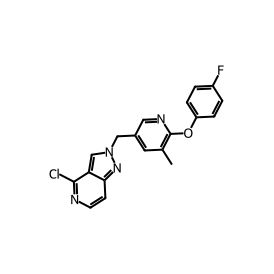 Cc1cc(Cn2cc3c(Cl)nccc3n2)cnc1Oc1ccc(F)cc1